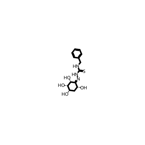 O[C@@H]1[C@H](O)/C(=N\NC(=S)NCc2ccccc2)[C@H](O)C[C@@H]1O